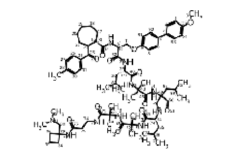 COc1ccc(-c2ccc(OC[C@H](NC(=O)[C@@H]3CCCCCC3C(=O)c3ccc(C)cc3)C(=O)N[C@@H](CC(C)C)C(=O)NC(C)(C)C(=O)NC(C=O)(CN[C@@H](CC(C)C)C(=O)NC(C)(C)C(=O)NC(C)(C)C(=O)NCCC(=O)NC3(CN(C)C)CCC3)CC(C)C)cc2)cc1